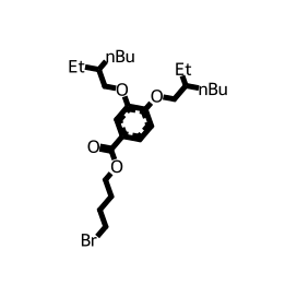 CCCCC(CC)COc1ccc(C(=O)OCCCCBr)cc1OCC(CC)CCCC